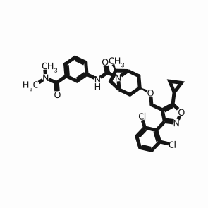 C[C@@H]1CC2C[C@H](OCc3c(-c4c(Cl)cccc4Cl)noc3C3CC3)CC1N2C(=O)Nc1cccc(C(=O)N(C)C)c1